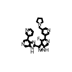 Fc1c(-c2cncc(CN3CCCC3)c2)ncc2[nH]nc(-c3nc4c(-c5cccnc5)cncc4[nH]3)c12